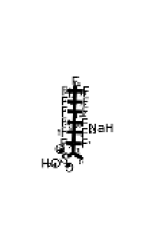 CC(C(F)(F)C(F)(F)C(F)(F)C(F)(F)C(F)(F)C(F)(F)F)S(=O)(=O)O.[NaH]